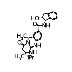 CC(C)[C@]1(C)CC(=O)N([C@H](C)c2cccc(C(=O)N[C@@H]3c4ccccc4C[C@H]3O)c2)C(=N)N1